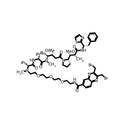 CC[C@H](C)[C@@H]([C@@H](CC(=O)N1CCC[C@H]1[C@H](OC)[C@@H](C)C(=O)N[C@@H](Cc1ccccc1)c1nccs1)OC)N(C)C(=O)[C@@H](NC(=O)[C@H](C(C)C)N(C)CCOCCOCCOCCNC(=O)c1ccc2nc(CBr)c(CBr)nc2c1)C(C)C